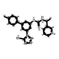 CCc1nnnn1-c1cc(OC(=O)NC(C)c2cccnc2)cc(-c2ccc(C)cc2)c1